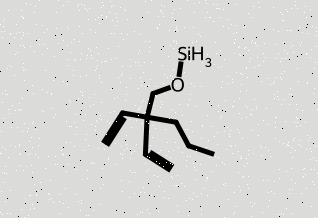 C=CC(C=C)(CCC)CO[SiH3]